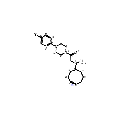 CN(CC(=O)N1CCN(c2ccc(F)cn2)CC1)C1CC/C=C\CCC1